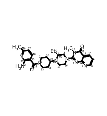 CC[C@H]1CN(c2nc3ncccc3c(=O)n2C)CCN1C1CCN(C(=O)c2ccc(C)nc2N)CC1